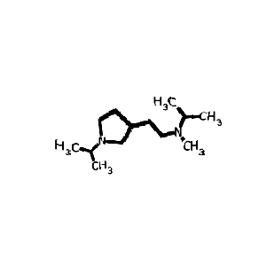 CC(C)N(C)CCC1CCN(C(C)C)C1